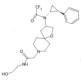 O=C(CN1CCC2(CC1)CC(N(C(=O)C(F)(F)F)[C@@H]1C[C@H]1c1ccccc1)CO2)NCCO